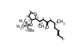 C[C@H](C/C=C/I)CC(=O)C[C@H](C)[C@@H]1OCC[C@@H]1O[Si](C)(C)C(C)(C)C